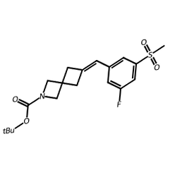 CC(C)(C)OC(=O)N1CC2(CC(=Cc3cc(F)cc(S(C)(=O)=O)c3)C2)C1